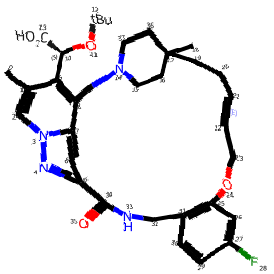 Cc1cn2nc3cc2c(c1[C@H](OC(C)(C)C)C(=O)O)N1CCC(C)(CC/C=C/COc2cc(F)ccc2CNC3=O)CC1